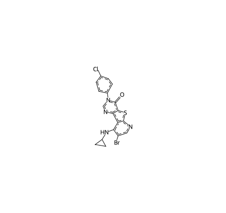 O=c1c2sc3ncc(Br)c(NC4CC4)c3c2ncn1-c1ccc(Cl)cc1